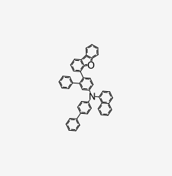 c1ccc(-c2ccc(N(c3ccc(-c4cccc5c4oc4ccccc45)c(-c4ccccc4)c3)c3cccc4ccccc34)cc2)cc1